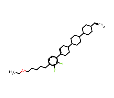 C=CC1CCC(C2CCC(C3CC=C(c4ccc(CCCCCOCC)c(F)c4F)CC3)CC2)CC1